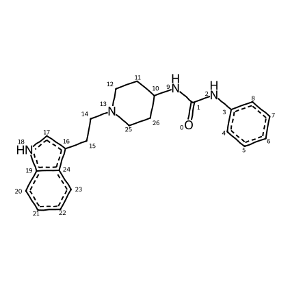 O=C(Nc1ccccc1)NC1CCN(CCc2c[nH]c3ccccc23)CC1